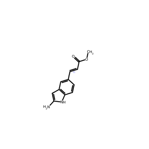 COC(=O)/C=C/c1ccc2[nH]c(N)cc2c1